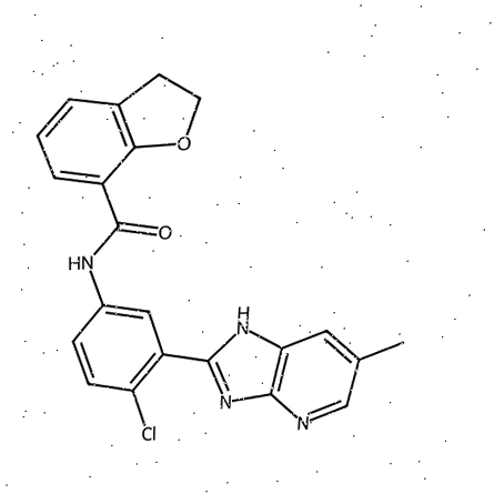 Cc1cnc2nc(-c3cc(NC(=O)c4cccc5c4OCC5)ccc3Cl)[nH]c2c1